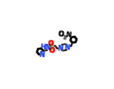 O=[N+]([O-])c1cccc(CN2CCN(CCS(=O)(=O)NCc3ccccn3)CC2)c1